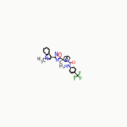 Cn1cc(-c2noc(C3(C)CC4CCC3N(C(=O)Nc3ccc(C(F)(F)F)cc3)C4)n2)c2ccccc21